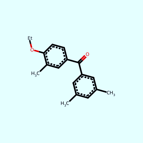 CCOc1ccc(C(=O)c2cc(C)cc(C)c2)cc1C